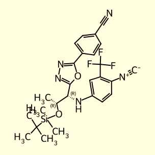 [C-]#[N+]c1ccc(N[C@@H](c2nnc(-c3ccc(C#N)cc3)o2)[C@@H](C)O[Si](C)(C)C(C)(C)C)cc1C(F)(F)F